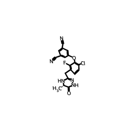 C[C@@H]1NC(Cc2ccc(Cl)c(Oc3cc(C#N)cc(C#N)c3)c2F)=NNC1=O